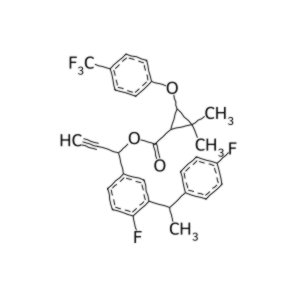 C#CC(OC(=O)C1C(Oc2ccc(C(F)(F)F)cc2)C1(C)C)c1ccc(F)c(C(C)c2ccc(F)cc2)c1